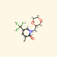 Cc1cc(C(F)(F)F)cn(CC2COCCO2)c1=O